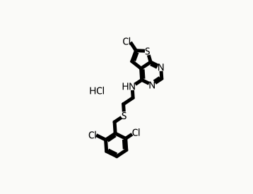 Cl.Clc1cc2c(NCCSCc3c(Cl)cccc3Cl)ncnc2s1